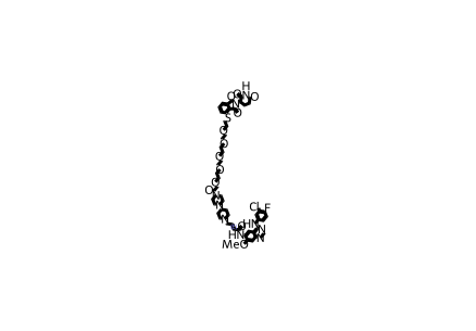 COc1cc2ncnc(Nc3ccc(F)c(Cl)c3)c2cc1NC(=O)/C=C/CN1CCC(N2CCN(C(=O)COCCOCCOCCOCCOCCSc3cccc4c3C(=O)N(C3CCC(=O)NC3=O)C4=O)CC2)CC1